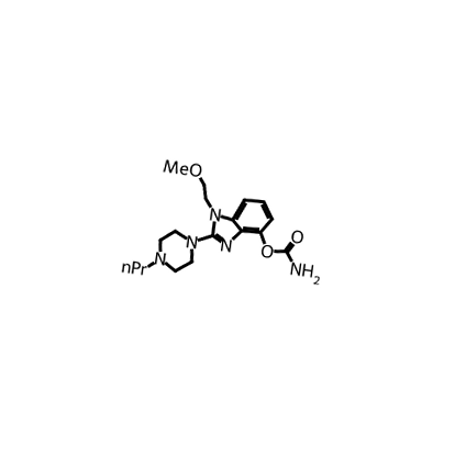 CCCN1CCN(c2nc3c(OC(N)=O)cccc3n2CCOC)CC1